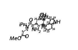 COC(=O)CCN(C(=O)C(N)C1C[C@@H]2c3cccc4[nH]cc(c34)C[C@H]2N(C)C1)C(C)C